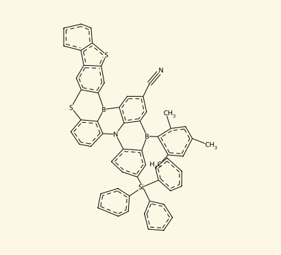 Cc1cc(C)c(B2c3cc([Si](c4ccccc4)(c4ccccc4)c4ccccc4)ccc3N3c4cccc5c4B(c4cc6sc7ccccc7c6cc4S5)c4cc(C#N)cc2c43)c(C)c1